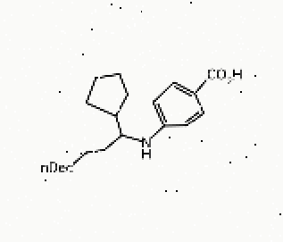 CCCCCCCCCCCCC(Nc1ccc(C(=O)O)cc1)C1CCCC1